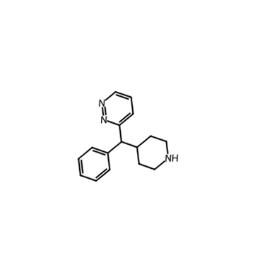 c1ccc(C(c2cccnn2)C2CCNCC2)cc1